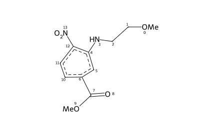 COCCNc1cc(C(=O)OC)ccc1[N+](=O)[O-]